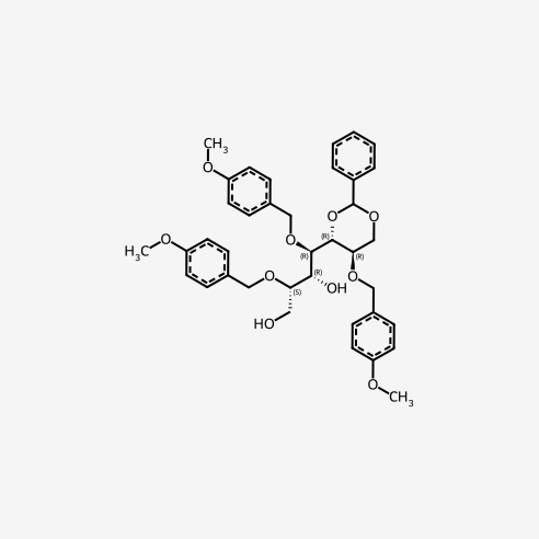 COc1ccc(CO[C@H]([C@H](O)[C@H](CO)OCc2ccc(OC)cc2)[C@@H]2OC(c3ccccc3)OC[C@H]2OCc2ccc(OC)cc2)cc1